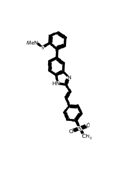 CNSc1ccccc1-c1ccc2[nH]c(/C=C/c3ccc(S(C)(=O)=O)cc3)nc2c1